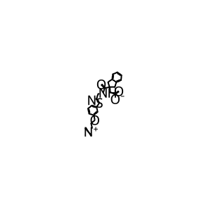 C[N+](C)(C)CCOc1ccc2nc(CNC(=O)C3(CC(=O)[O-])Cc4ccccc4C3)sc2c1